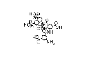 Nc1cc(C(=O)O)cc(C(=O)Nc2cc(C(=O)O)cc(C(=O)Nc3ccc(S(=O)(=O)O)c4cc(S(=O)(=O)O)cc(S(=O)(=O)O)c34)c2)c1